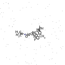 Cc1ccc2c(cnn2PI)c1-c1c(C#N)c(N2CCC3(CN(C(=O)/C=C/CN(C)C)C3)C2)nc2c(F)cccc12